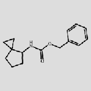 O=C(NC1CCCC12CC2)OCc1ccccc1